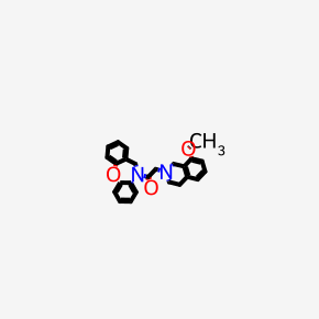 COc1cccc2c1CN(CC(=O)N1Cc3ccccc3Oc3ccccc31)CC2